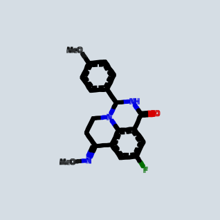 CON=C1CCN2c3c(cc(F)cc31)C(=O)NC2c1ccc(OC)cc1